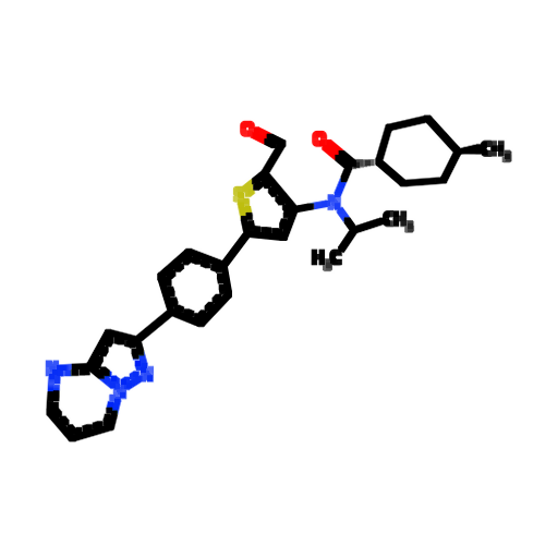 CC(C)N(c1cc(-c2ccc(-c3cc4ncccn4n3)cc2)sc1C=O)C(=O)[C@H]1CC[C@H](C)CC1